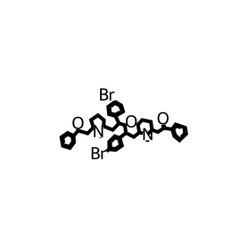 CN1C(CC(=O)c2ccccc2)CCCC1CC(C(=O)C(CC1CCCC(CC(=O)c2ccccc2)N1C)c1ccc(Br)cc1)c1ccc(Br)cc1